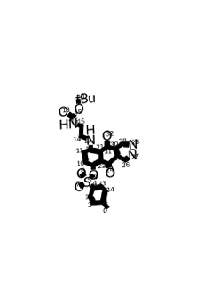 Cc1ccc(S(=O)(=O)Oc2ccc(NCCNC(=O)OC(C)(C)C)c3c2C(=O)c2cnncc2C3=O)cc1